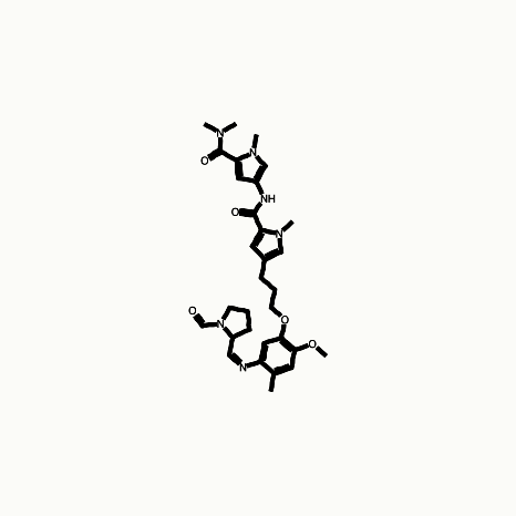 COc1cc(C)c(/N=C\C2CCCN2C=O)cc1OCCCc1cc(C(=O)Nc2cc(C(=O)N(C)C)n(C)c2)n(C)c1